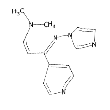 CN(C)/C=C\C(=N\n1ccnc1)c1ccncc1